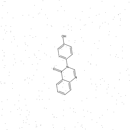 O=c1c2ccccc2ncn1-c1ccc(O)cc1